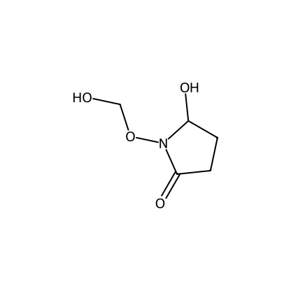 O=C1CCC(O)N1OCO